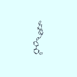 O=c1ccn2c(n1)O[C@H](COc1ccc(-c3cccc(Cl)c3)cc1)C2